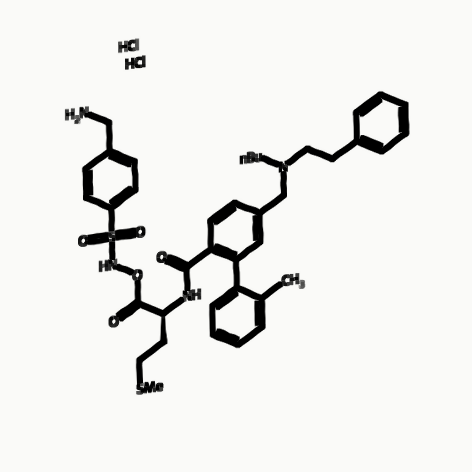 CCCCN(CCc1ccccc1)Cc1ccc(C(=O)N[C@@H](CCSC)C(=O)ONS(=O)(=O)c2ccc(CN)cc2)c(-c2ccccc2C)c1.Cl.Cl